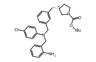 CC(C)(C)OC(=O)N1CC[C@@H](Cc2cccc(CN(Cc3ccccc3N)c3ccc(Cl)cc3)c2)C1